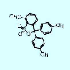 O=Cc1cccc2c1S(=O)(=O)OC2(c1ccc(O)cc1)c1ccc(O)cc1